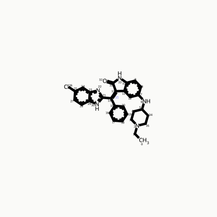 CCN1CCC(Nc2ccc3c(c2)/C(=C(\c2ccccc2)c2nc4cc(Cl)ccc4[nH]2)C(=O)N3)CC1